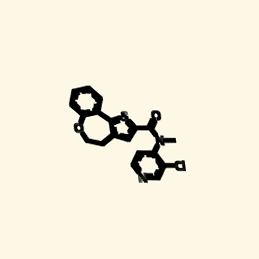 CN(C(=O)c1cc2c(s1)-c1ccccc1OCC2)c1ccncc1Cl